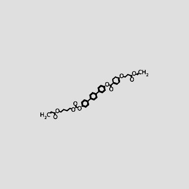 C=COC(=O)CCOC1=CC=C(C(=O)Oc2ccc(-c3ccc(-c4ccc(OC(=O)OCCCCOC(=O)C=C)cc4)cc3)cc2)CC1